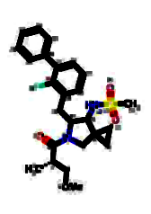 COC[C@H](C)C(=O)N1CC2(CC2)C(NS(C)(=O)=O)C1Cc1cccc(-c2ccccc2)c1F